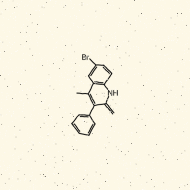 C=C1Nc2ccc(Br)cc2C(C)=C1c1ccccc1